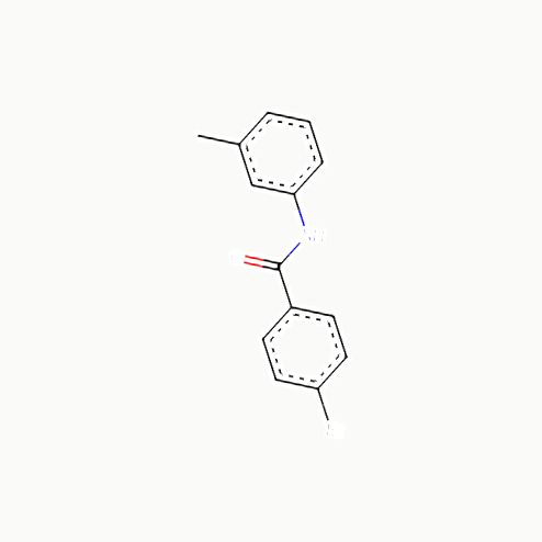 CCc1ccc(C(=O)Nc2cccc(C)c2)cc1